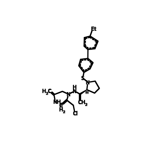 C=C(N)CN(NC(=C)[C@@H]1CCCN1Sc1ccc(-c2ccc(CC)cc2)cc1)C(=C)CCl